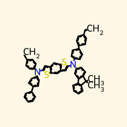 C=Cc1ccc(-c2ccc(N(c3ccc4c(c3)-c3ccccc3C4(C)C)c3cc4cc5sc(N(c6ccc(C=C)cc6)c6ccc(-c7ccccc7)cc6)cc5cc4s3)cc2)cc1